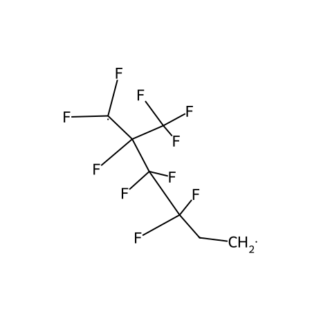 [CH2]CC(F)(F)C(F)(F)C(F)([C](F)F)C(F)(F)F